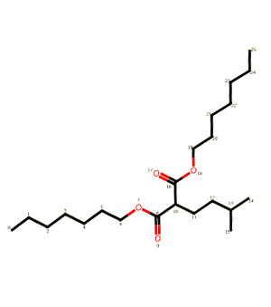 CCCCCCCOC(=O)C(CCC(C)C)C(=O)OCCCCCCC